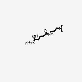 CCCCCCC(O)CCCC(=O)NCCCN(C)C